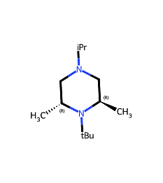 CC(C)N1C[C@@H](C)N(C(C)(C)C)[C@H](C)C1